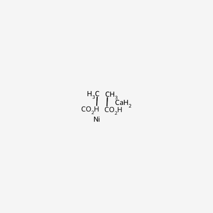 CC(=O)O.CC(=O)O.[CaH2].[Ni]